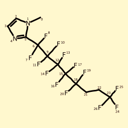 Cn1ccnc1C(F)(F)C(F)(F)C(F)(F)C(F)(F)C(F)(F)CCC(F)(F)F